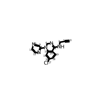 C#CCNC1=NCN(c2cnccn2)c2cc(Cl)ccc21